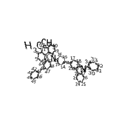 CC1(C)c2ccccc2-c2c(N(C3=CC=C(c4ccc5c(c4)c4ccccc4n5-c4ccccc4)CC3)c3ccc(-c4ccccc4)cc3)cccc21